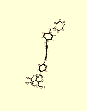 CC(O)(C(F)F)C(NC(=O)c1ccc(C#CC#Cc2ccc(CN3CCOCC3)cc2)cc1)C(=O)NO